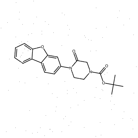 CC(C)(C)OC(=O)N1CCN(c2ccc3c(c2)oc2ccccc23)C(=O)C1